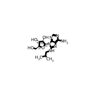 CC(C)CNc1nc2c(N)ncnc2n1[C@H]1O[C@@H](CO)[C@H](O)[C@@H]1O